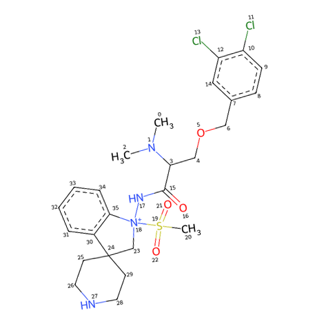 CN(C)C(COCc1ccc(Cl)c(Cl)c1)C(=O)N[N+]1(S(C)(=O)=O)CC2(CCNCC2)c2ccccc21